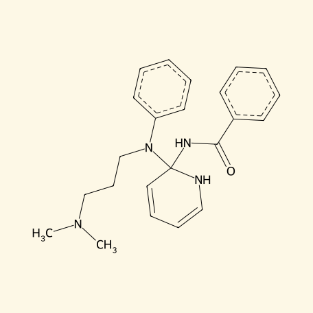 CN(C)CCCN(c1ccccc1)C1(NC(=O)c2ccccc2)C=CC=CN1